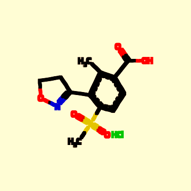 Cc1c(C(=O)O)ccc(S(C)(=O)=O)c1C1=NOCC1.Cl